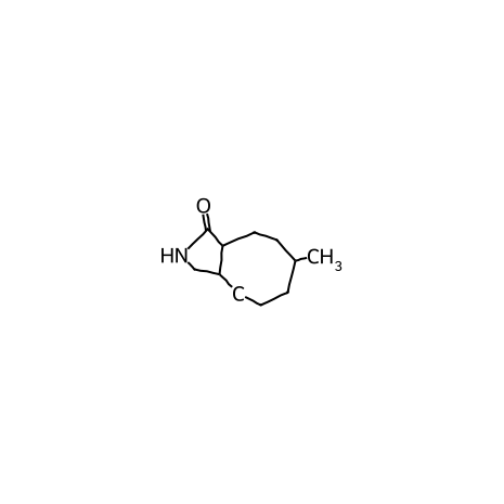 CC1CCCC2CNC(=O)C2CC1